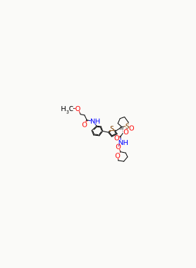 COCCC(=O)Nc1cccc(-c2ccc([C@@]3(CC(=O)NOC4CCCCO4)CCCCS3(=O)=O)s2)c1